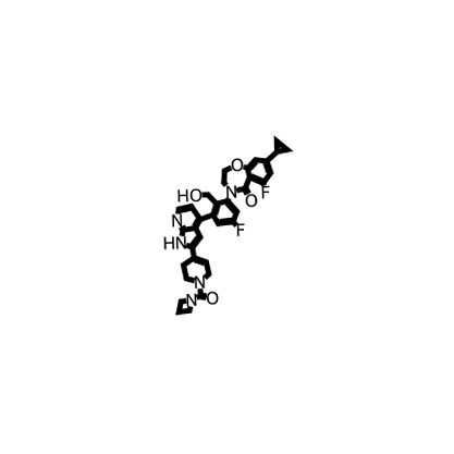 O=C(N1CC=C(c2cc3c(-c4cc(F)cc(N5CCOc6cc(C7CC7)cc(F)c6C5=O)c4CO)ccnc3[nH]2)CC1)N1CCC1